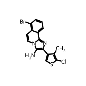 Cc1c(-c2nc3c4cccc(Br)c4ccn3c2N)csc1Cl